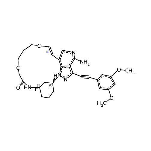 COc1cc(C#Cc2nn3c4c(cnc(N)c24)/C=C/CCCCCCC(=O)N[C@@H]2CCC[C@@H]3C2)cc(OC)c1